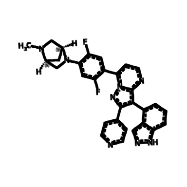 CN1C[C@@H]2C[C@H]1CN2c1cc(F)c(-c2ccnc3c(-c4cccc5[nH]ncc45)c(-c4ccncc4)nn23)cc1F